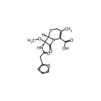 CO[C@@]1(NC(=O)Cc2cccs2)C(=O)N2C(C(=O)O)=C(C)CS[C@H]21